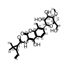 C=CC1C(C(=O)Nc2c(O)c3ccc([C@@H]4O[C@](C)(CO)[C@H](OC)[C@H](O)[C@H]4O)c(C)c3oc2=O)C1(C)C